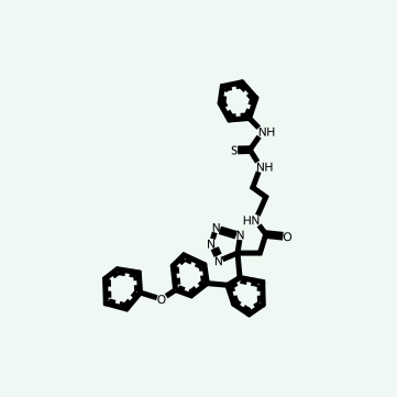 O=C(CC1(c2ccccc2-c2cccc(Oc3ccccc3)c2)N=NN=N1)NCCNC(=S)Nc1ccccc1